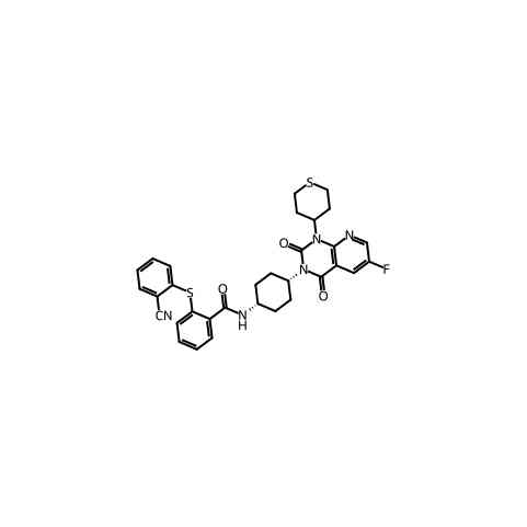 N#Cc1ccccc1Sc1ccccc1C(=O)N[C@H]1CC[C@@H](n2c(=O)c3cc(F)cnc3n(C3CCSCC3)c2=O)CC1